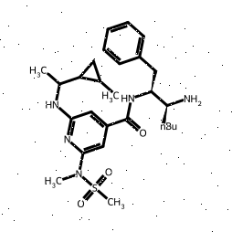 CCCC[C@H](N)[C@H](Cc1ccccc1)NC(=O)c1cc(NC(C)C2CC2C)nc(N(C)S(C)(=O)=O)c1